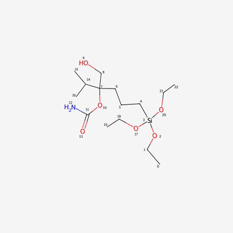 CCO[Si](CCCC(CO)(OC(N)=O)C(C)C)(OCC)OCC